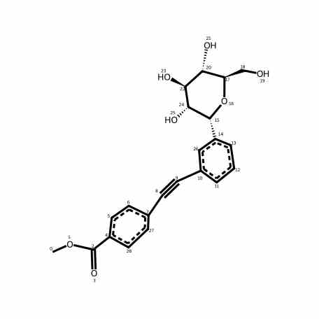 COC(=O)c1ccc(C#Cc2cccc([C@H]3O[C@H](CO)[C@@H](O)[C@H](O)[C@H]3O)c2)cc1